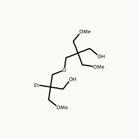 CCC(CO)(COC)COCC(CO)(COC)COC